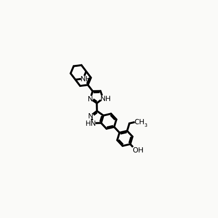 CCc1cc(O)ccc1-c1ccc2c(-c3nc(C4=CC5CCCC(C4)N5)c[nH]3)n[nH]c2c1